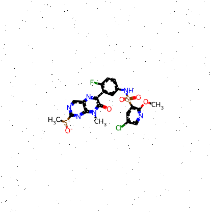 COc1ncc(Cl)cc1S(=O)(=O)Nc1ccc(F)c(-c2nc3cnc([S+](C)[O-])nc3n(C)c2=O)c1